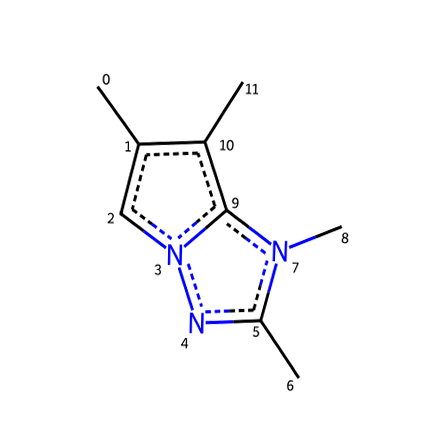 Cc1cn2nc(C)n(C)c2c1C